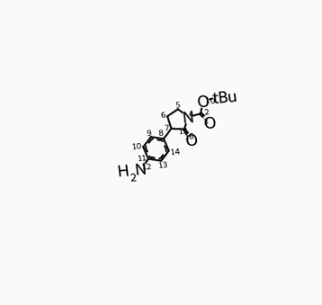 CC(C)(C)OC(=O)N1CCC(c2ccc(N)cc2)C1=O